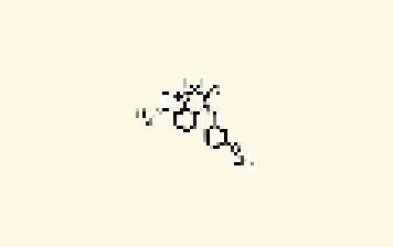 COc1cccc(CN2C(=O)C(F)(F)Oc3c(C(C)O)cccc32)c1